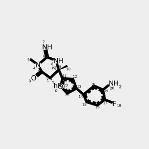 CCC[C@@H]1C(=O)N(C)C(=N)N[C@]1(C)c1cc(-c2ccc(F)c(N)c2)cs1